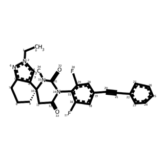 CCn1cc2c(n1)CCC[C@]21CC(=O)N(c2c(F)cc(C#Cc3ccccc3)cc2F)C(=O)N1C